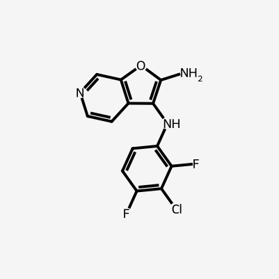 Nc1oc2cnccc2c1Nc1ccc(F)c(Cl)c1F